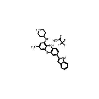 FC(F)(F)c1cc(NC2CCNCC2)c2c(c1)Sc1cc(-c3cc4ccccc4[nH]3)ccc1N2.O=C(O)C(F)(F)F